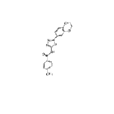 Cc1ccc(C(=O)Nc2nnc(-c3ccc4c(c3)OCCO4)o2)cc1